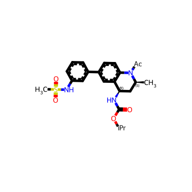 CC(=O)N1c2ccc(-c3cccc(NS(C)(=O)=O)c3)cc2[C@H](NC(=O)OC(C)C)C[C@@H]1C